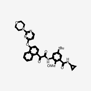 COc1c(NC(=O)C(=O)c2ccc(Oc3ccnc(N4CCOCC4)n3)c3ccccc23)cc(C(C)(C)C)cc1C(=O)NC1CC1